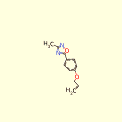 C=CCOc1ccc(-c2nc(C)no2)cc1